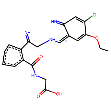 CCOC1=C/C(=C/NCC(=N)c2ccccc2C(=O)NCC(=O)O)C(=N)C=C1Cl